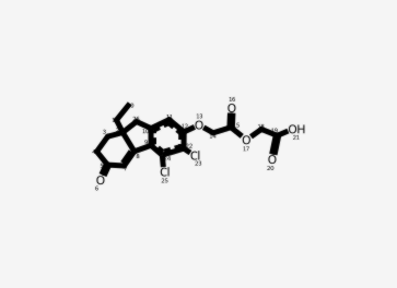 CCC12CCC(=O)C=C1c1c(cc(OCC(=O)OCC(=O)O)c(Cl)c1Cl)C2